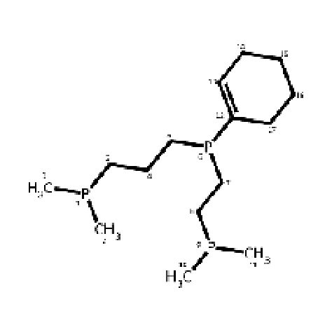 CP(C)CCCP(CCP(C)C)C1=CCCCC1